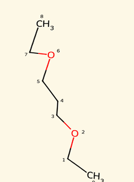 CCOCCCOCC